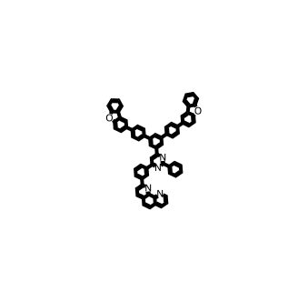 c1ccc(-c2nc(-c3cc(-c4ccc(-c5ccc6oc7ccccc7c6c5)cc4)cc(-c4ccc(-c5ccc6oc7ccccc7c6c5)cc4)c3)cc(-c3cccc(-c4ccc5ccc6cccnc6c5n4)c3)n2)cc1